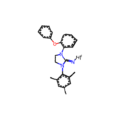 Cc1cc(C)c(N2CCN(c3ccccc3Oc3ccccc3)C2=[N][Hf])c(C)c1